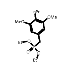 CCCc1c(OC)cc(CP(=O)(OCC)OCC)cc1OC